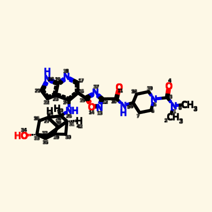 CN(C)C(=O)N1CCC(NC(=O)c2noc(-c3cnc4[nH]ccc4c3N[C@H]3[C@@H]4CC5C[C@H]3C[C@@](O)(C5)C4)n2)CC1